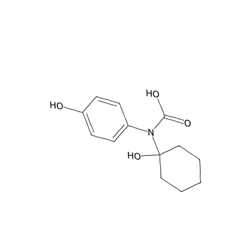 O=C(O)N(c1ccc(O)cc1)C1(O)CCCCC1